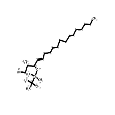 CCCCCCCCCCCCCC=C[C@@H](O[Si](C)(C)C(C)(C)C)[C@@H](N)CO